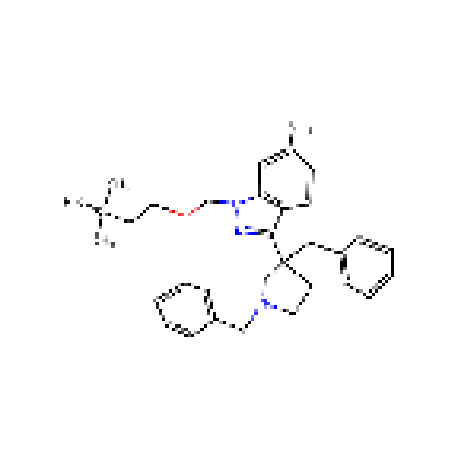 Cc1ccc2c(C3(Cc4ccccc4)CCN(Cc4ccccc4)C3)nn(COCC[Si](C)(C)C)c2c1